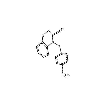 O=C(O)c1ccc(CN2C(=O)COc3ccccc32)cc1